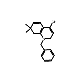 CC1(C)C=CC2=C(C1)N(Cc1ccccc1)CC=C2O